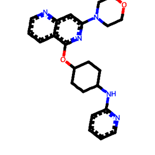 c1ccc(NC2CCC(Oc3nc(N4CCOCC4)cc4ncccc34)CC2)nc1